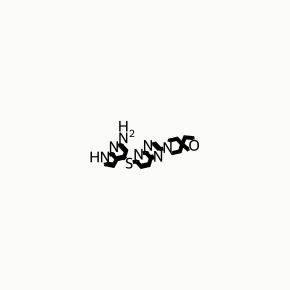 Nc1cc(Sc2ccc3nc(N4CCC5(CCOC5)CC4)cnc3n2)c2cc[nH]c2n1